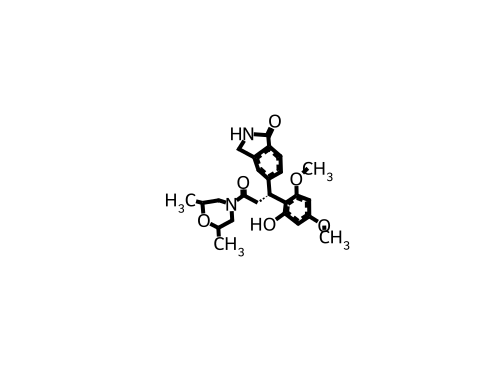 COc1cc(O)c([C@H](CC(=O)N2CC(C)OC(C)C2)c2ccc3c(c2)CNC3=O)c(OC)c1